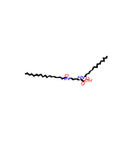 CCCCCCCCCCCCCCCCCC(=O)NCCCC[C@H](NC(=O)CCCCCCCCCCCCC)C(=O)O